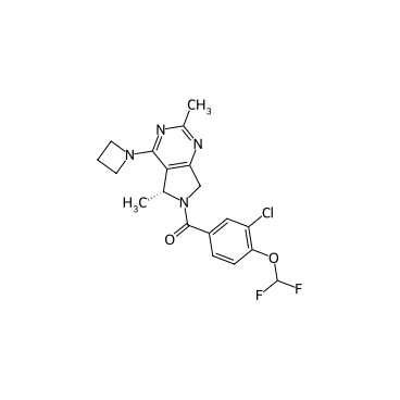 Cc1nc2c(c(N3CCC3)n1)[C@@H](C)N(C(=O)c1ccc(OC(F)F)c(Cl)c1)C2